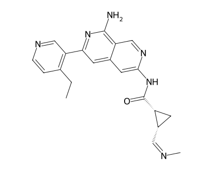 CCc1ccncc1-c1cc2cc(NC(=O)[C@@H]3C[C@@H]3/C=N\C)ncc2c(N)n1